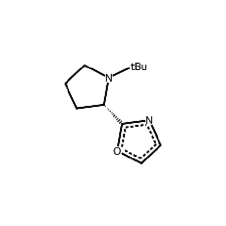 CC(C)(C)N1CCC[C@H]1c1ncco1